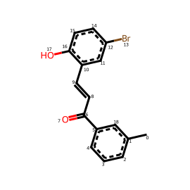 Cc1cccc(C(=O)C=Cc2cc(Br)ccc2O)c1